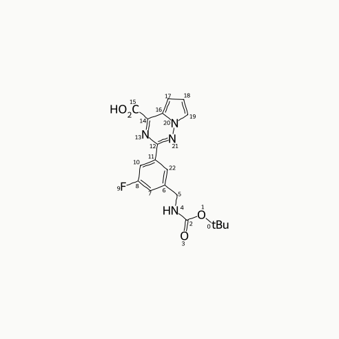 CC(C)(C)OC(=O)NCc1cc(F)cc(-c2nc(C(=O)O)c3cccn3n2)c1